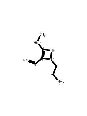 CNc1[nH]n(CCN)c1C=O